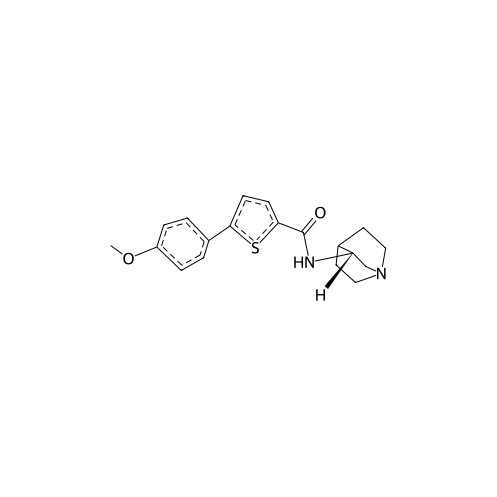 COc1ccc(-c2ccc(C(=O)N[C@H]3CN4CCC3CC4)s2)cc1